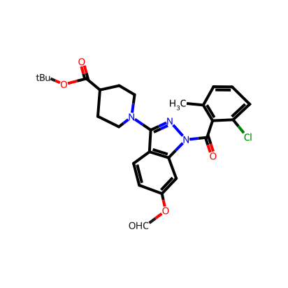 Cc1cccc(Cl)c1C(=O)n1nc(N2CCC(C(=O)OC(C)(C)C)CC2)c2ccc(OC=O)cc21